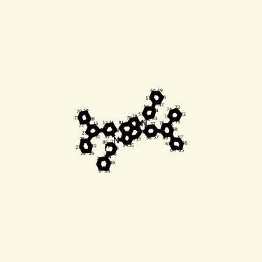 c1ccc(-c2ccc(N(c3cccc(-c4cc(-c5ccccc5)cc(-c5ccccc5)c4)c3)c3ccc4ccc5c(N(c6ccc(-c7ccccc7)cc6)c6cccc(-c7cc(-c8ccccc8)cc(-c8ccccc8)c7)c6)ccc6ccc3c4c65)cc2)cc1